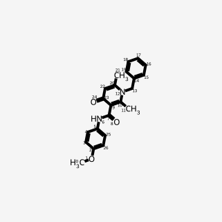 COc1ccc(NC(=O)c2c(C)n(Cc3ccccc3)c(C)cc2=O)cc1